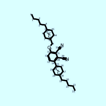 CCCCCC12CCC(COc3ccc(C45CCC(CCCCC)(CC4)CC5)c(C#N)c3C#N)(CC1)CC2